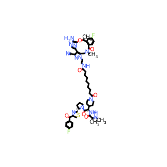 CN[C@@H](C)C(=O)N[C@H](C(=O)N1CCC[C@H]1C1=NC(C(=O)c2ccc(F)cc2)CS1)C1CCN(C(=O)CCCCCCCCC(=O)NCCn2nc(C#N)c3c2CN(C)C(=O)c2ccc(F)cc2[C@@H](C)Oc2nc-3cnc2N)CC1